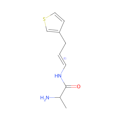 CC(N)C(=O)N/C=C/Cc1ccsc1